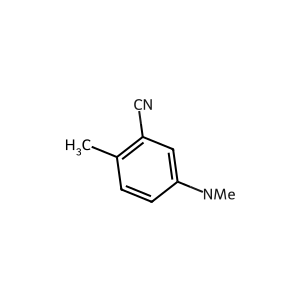 CNc1ccc(C)c(C#N)c1